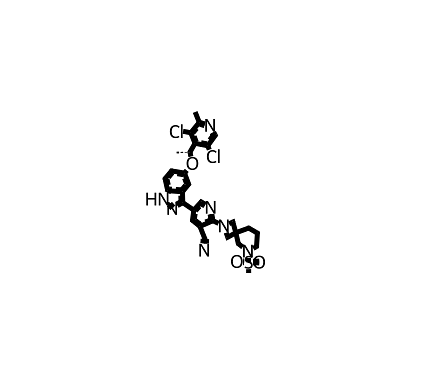 Cc1ncc(Cl)c([C@@H](C)Oc2ccc3[nH]nc(-c4cnc(N5CC6(CCCN(S(C)(=O)=O)C6)C5)c(C#N)c4)c3c2)c1Cl